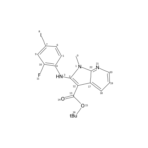 Cn1c(Nc2ccc(I)cc2F)c(C(=O)OC(C)(C)C)c2cccnc21